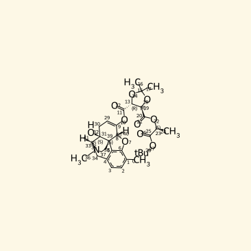 Cc1ccc2c3c1O[C@H]1C(OC(=O)[C@@H]4OC(C)(C)O[C@H]4C(=O)O[C@@H](C)C(=O)OC(C)(C)C)=CC[C@@]4(O)[C@@H](C2)N(C)CC[C@]314